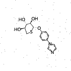 O[C@@H]1[C@@H](O)[C@H](Oc2ccc(-n3ccnc3)cc2)SC[C@H]1O